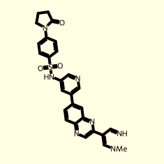 CN/C=C(\C=N)c1cnc2ccc(-c3cncc(NS(=O)(=O)c4ccc(N5CCCC5=O)cc4)c3)cc2n1